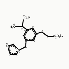 CCOC(=O)CCc1cc(Cn2ccnc2)cc(C(C)C(=O)O)c1